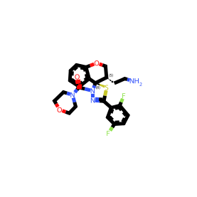 NCC[C@H]1COc2ccccc2[C@]12SC(c1cc(F)ccc1F)=NN2C(=O)N1CCOCC1